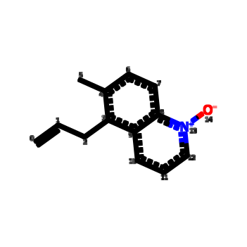 C=CCc1c(C)ccc2c1ccc[n+]2[O-]